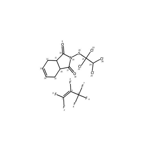 FC(F)=C(F)C(F)(F)F.O=C1C2CC=CCC2C(=O)N1SC(Cl)(Cl)C(Cl)Cl